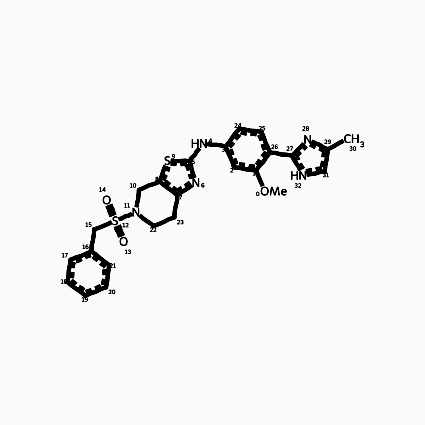 COc1cc(Nc2nc3c(s2)CN(S(=O)(=O)Cc2ccccc2)CC3)ccc1-c1nc(C)c[nH]1